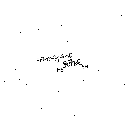 CCOCCOCCOC(=O)CCSCCC(=O)OCC(CC)(COC(=O)CCS)COC(=O)CCS